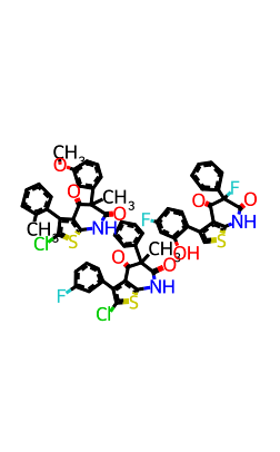 CC1(c2ccccc2)C(=O)Nc2sc(Cl)c(-c3cccc(F)c3)c2C1=O.COc1cccc(C2(C)C(=O)Nc3sc(Cl)c(-c4ccccc4C)c3C2=O)c1.O=C1Nc2scc(-c3ccc(F)cc3O)c2C(=O)C1(F)c1ccccc1